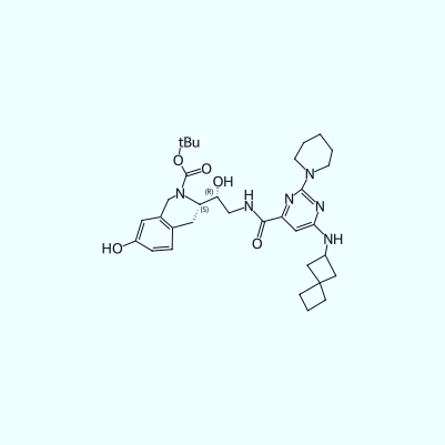 CC(C)(C)OC(=O)N1Cc2cc(O)ccc2C[C@H]1[C@H](O)CNC(=O)c1cc(NC2CC3(CCC3)C2)nc(N2CCCCC2)n1